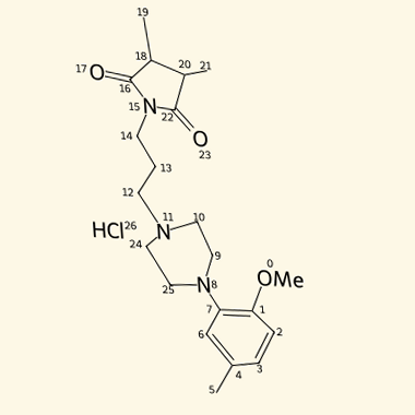 COc1ccc(C)cc1N1CCN(CCCN2C(=O)C(C)C(C)C2=O)CC1.Cl